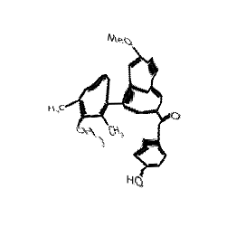 COc1ccc2cc(C(=O)c3ccc(O)cc3)cc(-c3ccc(C)c(C)c3C)c2c1